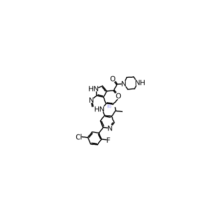 C=Nc1[nH]cc(C(=O)C(=O)N2CCNCC2)c1/C(=C\C)Nc1cc(-c2cc(Cl)ccc2F)ncc1C(C)C